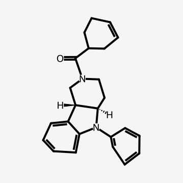 O=C(C1CC=CCC1)N1CC[C@@H]2[C@@H](C1)c1ccccc1N2c1ccccc1